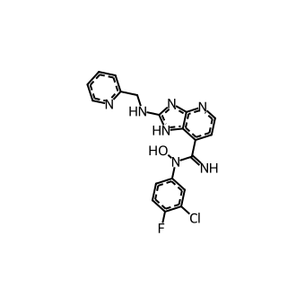 N=C(c1ccnc2nc(NCc3ccccn3)[nH]c12)N(O)c1ccc(F)c(Cl)c1